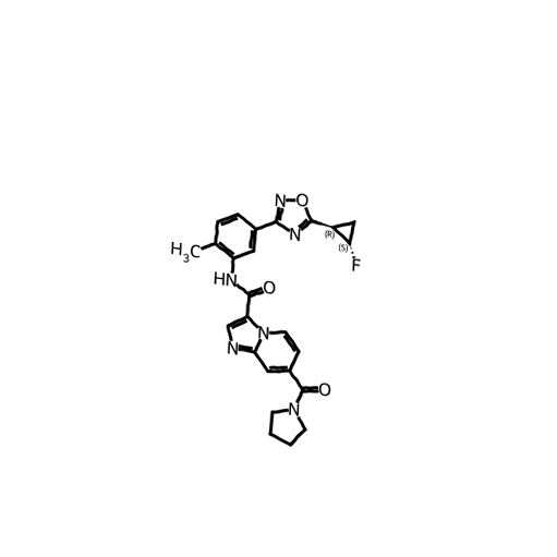 Cc1ccc(-c2noc([C@H]3C[C@@H]3F)n2)cc1NC(=O)c1cnc2cc(C(=O)N3CCCC3)ccn12